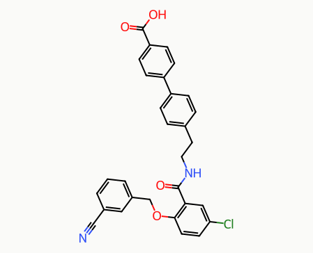 N#Cc1cccc(COc2ccc(Cl)cc2C(=O)NCCc2ccc(-c3ccc(C(=O)O)cc3)cc2)c1